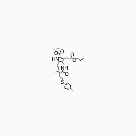 C=CCOC(=O)CCc1c(C(=O)OC(C)(C)C)[nH]c(/C=C2\NC(=O)C(CCSc3ccc(C)cc3)=C2C)c1C